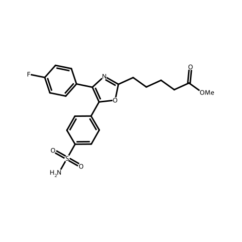 COC(=O)CCCCc1nc(-c2ccc(F)cc2)c(-c2ccc(S(N)(=O)=O)cc2)o1